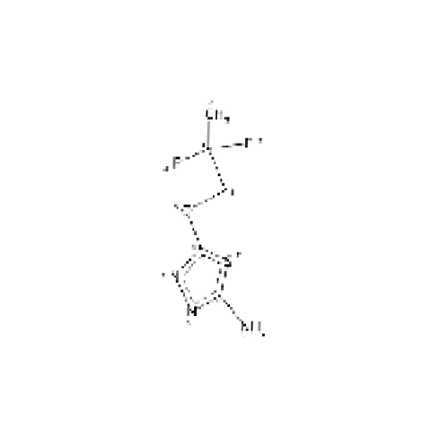 CC(F)(F)COc1nnc(N)s1